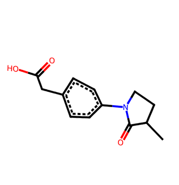 CC1CCN(c2ccc(CC(=O)O)cc2)C1=O